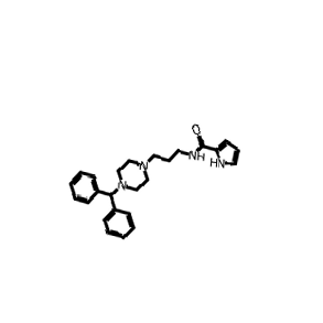 O=C(NCCCN1CCN(C(c2ccccc2)c2ccccc2)CC1)c1ccc[nH]1